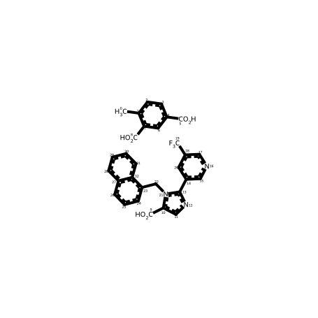 Cc1ccc(C(=O)O)cc1C(=O)O.O=C(O)c1cnc(-c2cncc(C(F)(F)F)c2)n1Cc1cccc2ccccc12